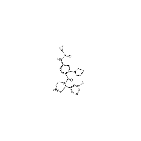 O=C(Nc1ccc(C(=O)N2CCNCC2c2cccc(F)c2)c(N2CCCC2)c1)C1CC1